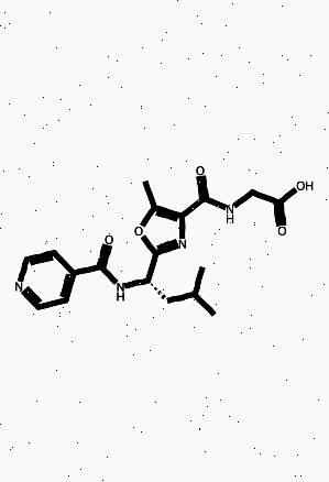 Cc1oc([C@H](CC(C)C)NC(=O)c2ccncc2)nc1C(=O)NCC(=O)O